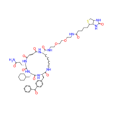 NC(=O)CC[C@@H]1NC(=O)/C=C/C(=O)N[C@H](C(=O)NCCOCCOCCNC(=O)CCCCC2SCC3NC(=O)NC32)CCCCNC(=O)[C@@H](Cc2ccc(C(=O)c3ccccc3)cc2)NC(=O)[C@H](CC2CCCCC2)NC1=O